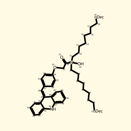 CCCCCCCCCCCCCCCCCC[N+](O)(CCCCCCCCCCCCCCCCCC)C(=O)COc1ccc(C=C2c3ccccc3Nc3ccccc32)cc1